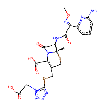 CON=C(C(=O)NC1C(=O)N2C(C(=O)O)=C(CSc3nnnn3CC(=O)O)CS[C@@H]12)c1cccc(N)n1